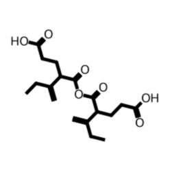 C=C(CC)C(CCC(=O)O)C(=O)OC(=O)C(CCC(=O)O)C(=C)CC